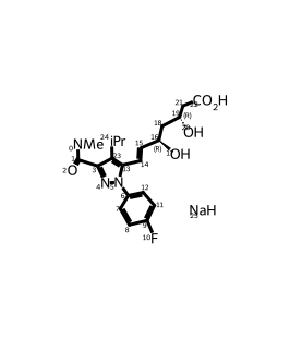 CNC(=O)c1nn(-c2ccc(F)cc2)c(C=C[C@H](O)C[C@@H](O)CC(=O)O)c1C(C)C.[NaH]